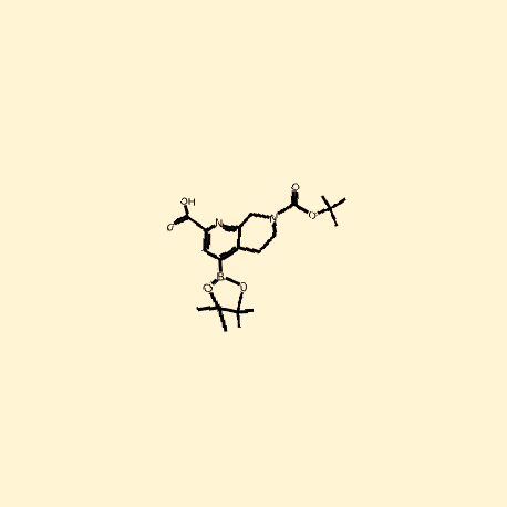 CC(C)(C)OC(=O)N1CCc2c(B3OC(C)(C)C(C)(C)O3)cc(C(=O)O)nc2C1